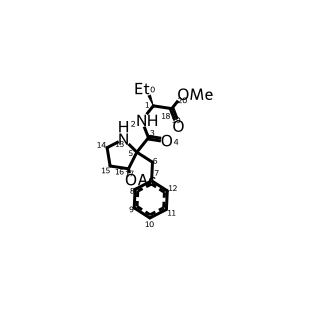 CC[C@H](NC(=O)C1(Cc2ccccc2)NCCC1OC(C)=O)C(=O)OC